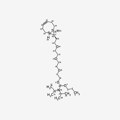 CCCOP(OCCOCCOCCOCC[C@@H]1[C@@H]2CCC#CCC[C@@H]21)N(C(C)C)C(C)C